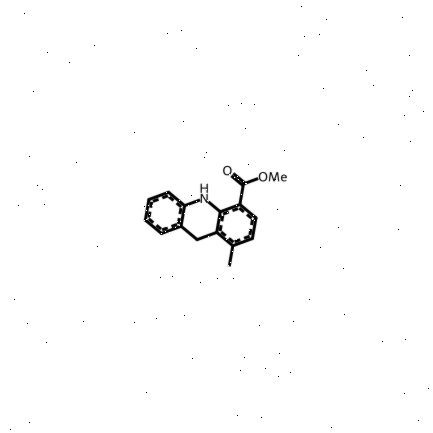 COC(=O)c1ccc(C)c2c1Nc1ccccc1C2